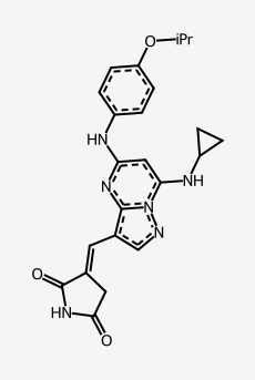 CC(C)Oc1ccc(Nc2cc(NC3CC3)n3ncc(/C=C4\CC(=O)NC4=O)c3n2)cc1